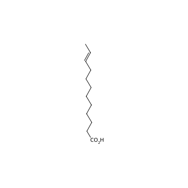 C/C=C/CCCCCCCCC(=O)O